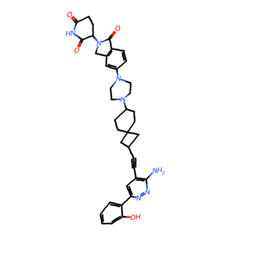 Nc1nnc(-c2ccccc2O)cc1C#CC1CC2(CCC(N3CCN(c4ccc5c(c4)CN(C4CCC(=O)NC4=O)C5=O)CC3)CC2)C1